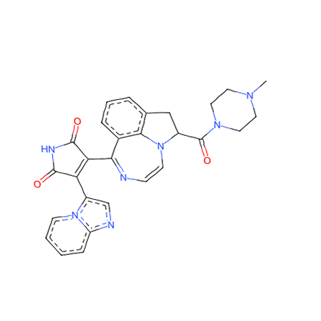 CN1CCN(C(=O)C2Cc3cccc4c3N2C=CN=C4C2=C(c3cnc4ccccn34)C(=O)NC2=O)CC1